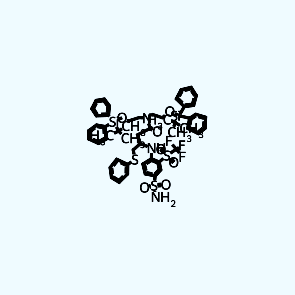 CC(C)(C)[Si](OCCN(CCO[Si](c1ccccc1)(c1ccccc1)C(C)(C)C)C(=O)CC(CSc1ccccc1)Nc1ccc(S(N)(=O)=O)cc1S(=O)(=O)C(F)(F)F)(c1ccccc1)c1ccccc1